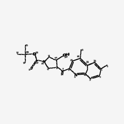 Cc1ccc2nc(NC3CN(C(=O)OC(C)(C)C)CC3O)cc(C)c2c1